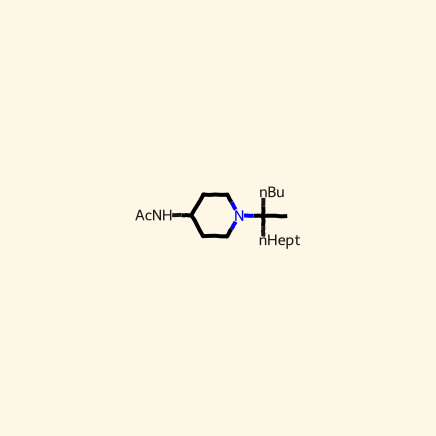 CCCCCCCC(C)(CCCC)N1CCC(NC(C)=O)CC1